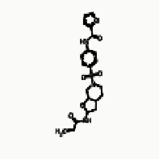 C=CC(=O)NC1CC2CCN(S(=O)(=O)c3ccc(NC(=O)c4ccco4)cc3)CC2O1